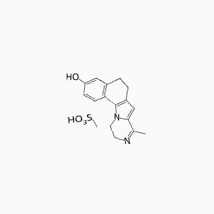 CC1=NCCn2c1cc1c2-c2ccc(O)cc2CC1.CS(=O)(=O)O